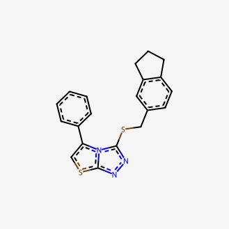 c1ccc(-c2csc3nnc(SCc4ccc5c(c4)CCC5)n23)cc1